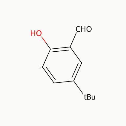 CC(C)(C)c1c[c]c(O)c(C=O)c1